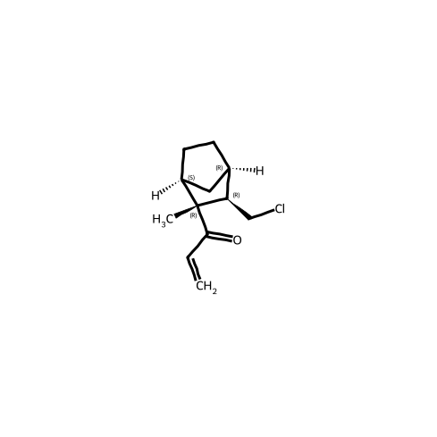 C=CC(=O)[C@]1(C)[C@H]2CC[C@H](C2)[C@H]1CCl